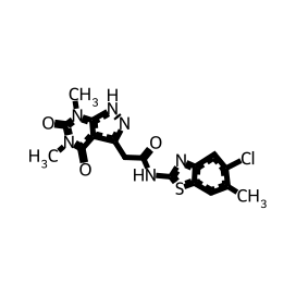 Cc1cc2sc(NC(=O)Cc3n[nH]c4c3c(=O)n(C)c(=O)n4C)nc2cc1Cl